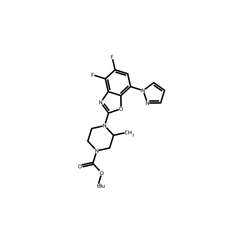 CC1CN(C(=O)OC(C)(C)C)CCN1c1nc2c(F)c(F)cc(-n3cccn3)c2o1